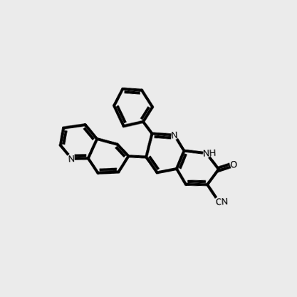 N#Cc1cc2cc(-c3ccc4ncccc4c3)c(-c3ccccc3)nc2[nH]c1=O